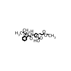 CCOC(=O)CC[C@@H]1C[C@H](NC(=O)c2nn(C(C)C)c3ccccc23)CN1C(=O)O